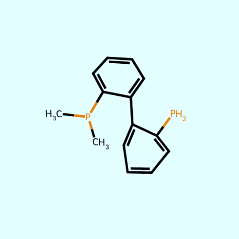 CP(C)c1ccccc1-c1ccccc1P